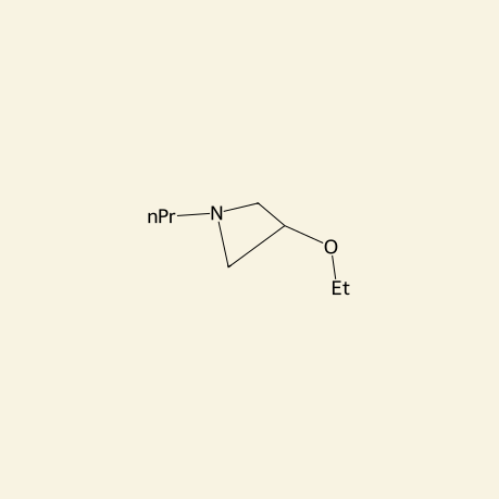 CCCN1CC(OCC)C1